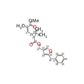 COC(=O)C(C)=CC1C(C(=O)OCc2coc(Cc3ccccc3)c2)C1(C)C